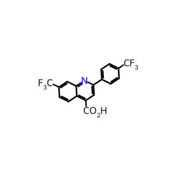 O=C(O)c1cc(-c2ccc(C(F)(F)F)cc2)nc2cc(C(F)(F)F)ccc12